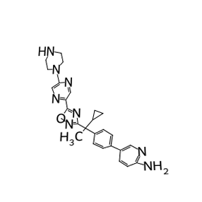 CC(c1ccc(-c2ccc(N)nc2)cc1)(c1noc(-c2cnc(N3CCNCC3)cn2)n1)C1CC1